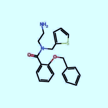 NCCN(Cc1cccs1)C(=O)c1ccccc1OCc1ccccc1